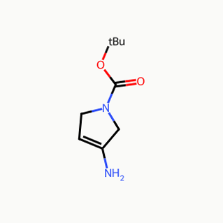 CC(C)(C)OC(=O)N1CC=C(N)C1